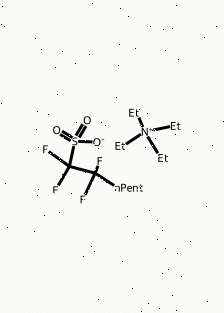 CCCCCC(F)(F)C(F)(F)S(=O)(=O)[O-].CC[N+](CC)(CC)CC